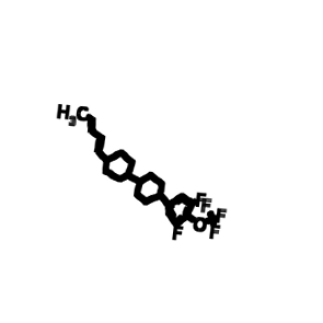 CC=CC=CC1CCC(C2CCC(c3cc(F)c(OC(F)(F)F)c(F)c3)CC2)CC1